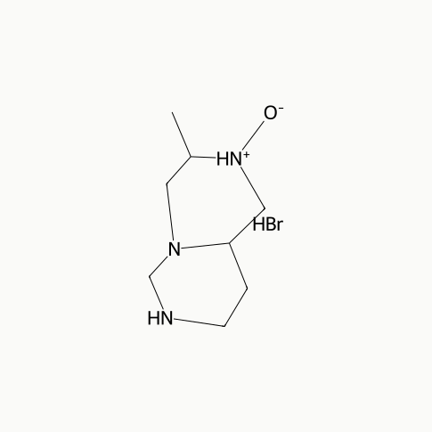 Br.CC1CN2CNCCC2C[NH+]1[O-]